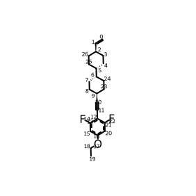 C=C[C@H]1CC[C@H]([C@H]2CC[C@H](C#Cc3c(F)cc(OCC)cc3F)CC2)CC1